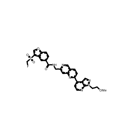 COCCn1ncc2c(-c3ccc4cnc(CNC(=O)c5ccc6occ(S(=O)(=O)CF)c6c5)cc4n3)ccnc21